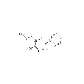 O=C(O)N(CCO)CC(O)c1ccccc1